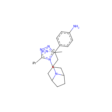 Cc1nnc(C(C)C)n1C1CC2CCC(C1)N2CC[C@H](N)c1ccc(N)cc1